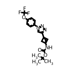 CC(C)(C)OC(=O)NC12CC(c3cn(-c4ccc(OC(F)(F)F)cc4)nn3)(C1)C2